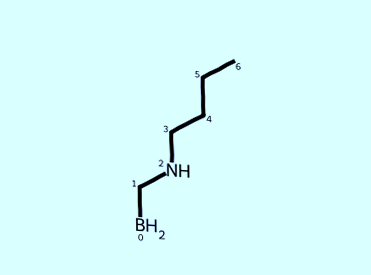 BCNCCCC